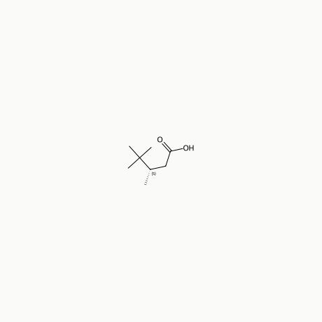 C[C@@H](CC(=O)O)C(C)(C)C